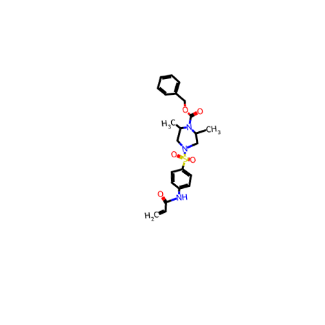 C=CC(=O)Nc1ccc(S(=O)(=O)N2CC(C)N(C(=O)OCc3ccccc3)C(C)C2)cc1